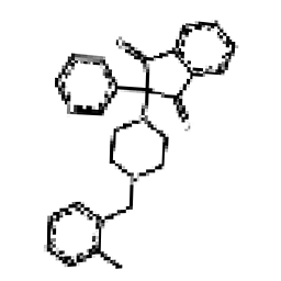 Cc1ccccc1CN1CCN(C2(c3cccnc3)C(=O)c3ccccc3C2=O)CC1